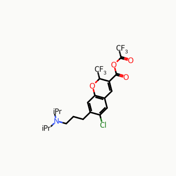 CC(C)N(CCCc1cc2c(cc1Cl)C=C(C(=O)OC(=O)C(F)(F)F)C(C(F)(F)F)O2)C(C)C